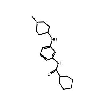 CN1CCC(Nc2cccc(NC(=O)C3CCCCC3)n2)CC1